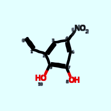 C=Cc1cc([N+](=O)[O-])cc(O)c1O